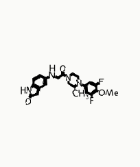 COc1c(F)cc(N2CCN(C(=O)CNc3ccc4c(c3)CC(=O)N4)C[C@H]2C)cc1F